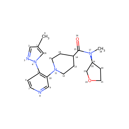 Cc1cnn(-c2ccncc2N2CCC(C(=O)N(C)[C@H]3CCOC3)CC2)c1